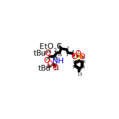 CCOC(=O)C(CCCOS(=O)(=O)c1ccc(C)cc1)CCC(NC(=O)OC(C)(C)C)C(=O)OC(C)(C)C